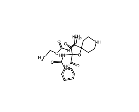 CCOC(=O)N=C(N)C1(OC(NC(=O)c2ccccc2)(C(=O)O)C(=O)CC)CCNCC1